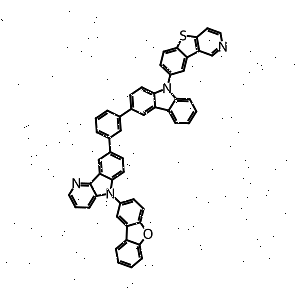 c1cc(-c2ccc3c(c2)c2ccccc2n3-c2ccc3sc4ccncc4c3c2)cc(-c2ccc3c(c2)c2ncccc2n3-c2ccc3oc4ccccc4c3c2)c1